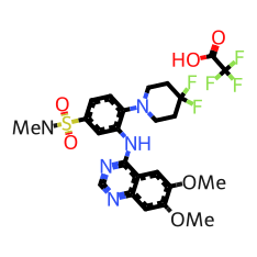 CNS(=O)(=O)c1ccc(N2CCC(F)(F)CC2)c(Nc2ncnc3cc(OC)c(OC)cc23)c1.O=C(O)C(F)(F)F